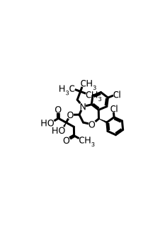 CC(=O)C[C@@](O)(OC1CO[C@H](c2ccccc2Cl)c2cc(Cl)ccc2N1CC(C)(C)C)C(=O)O